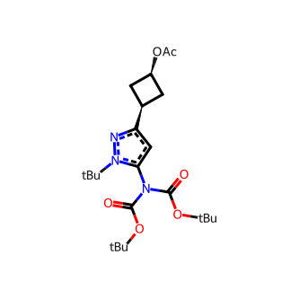 CC(=O)O[C@H]1C[C@@H](c2cc(N(C(=O)OC(C)(C)C)C(=O)OC(C)(C)C)n(C(C)(C)C)n2)C1